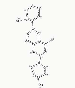 Oc1ccc(-c2cc(Br)c3cc(-c4ccccc4O)ccc3n2)cc1